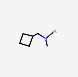 CN(CC1CCC1)C(C)(C)C